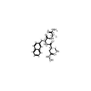 CC(C)C[C@H](CC(=O)NO)C(=O)N[C@@H](Cc1ccc2ccccc2c1)C(=O)N[C@@H](C)C(N)=O